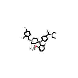 CCN(CC)C(=O)c1ccc(N(c2c(F)cccc2C(N)=O)C2CCN(Cc3ccc(Cl)cc3Cl)CC2)cc1